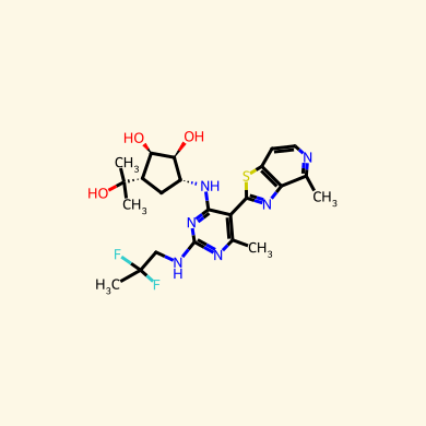 Cc1nc(NCC(C)(F)F)nc(N[C@@H]2C[C@H](C(C)(C)O)[C@@H](O)[C@H]2O)c1-c1nc2c(C)nccc2s1